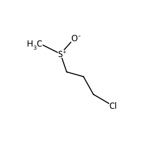 C[S+]([O-])CCCCl